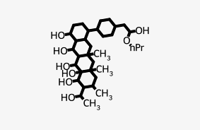 CCCOC(O)CC1CCC(C2CCC(O)C3C(O)C4C(O)C5(O)C(O)C(C(C)O)C(C)CC5(C)CC4(C)CC23)CC1